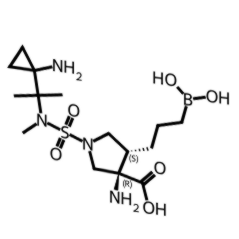 CN(C(C)(C)C1(N)CC1)S(=O)(=O)N1C[C@H](CCCB(O)O)[C@](N)(C(=O)O)C1